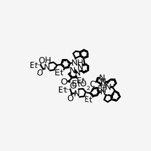 CCOC(=O)c1cnn(-c2cccc(-c3cccc4c3C(Nc3ccc(C5CCN(C(=O)[C@H](CC)OC(=O)c6cnn(-c7cccc(-c8cccc9c8C(Nc8ccc(C%10CCN(C(=O)[C@@H](O)CC)CC%10)c(CC)c8)CC9)n7)c6CC)CC5)c(CC)c3)CC4)n2)c1CC